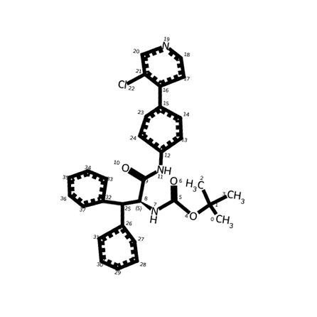 CC(C)(C)OC(=O)N[C@H](C(=O)Nc1ccc(-c2ccncc2Cl)cc1)C(c1ccccc1)c1ccccc1